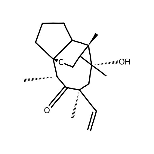 C=C[C@]1(C)C[C@@H](O)[C@]2(C)C(C)CC[C@]3(CCCC32)[C@@H](C)C1=O